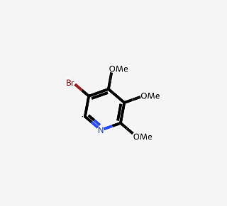 COc1n[c]c(Br)c(OC)c1OC